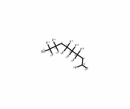 CCC(F)(F)C(F)(F)CC(F)(F)C(F)(F)C(F)(F)CC(F)F